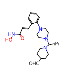 CC(C)C(N1CCC(C=O)CC1)N1CCN(c2ccccc2/C=C/C(=O)NO)CC1